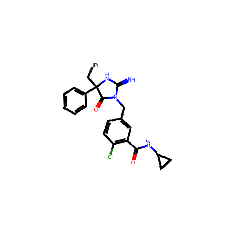 CC(C)CC1(c2ccccc2)NC(=N)N(Cc2ccc(Cl)c(C(=O)NC3CC3)c2)C1=O